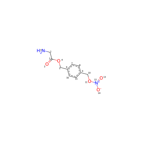 NCC(=O)OCc1ccc(CO[N+](=O)[O-])cc1